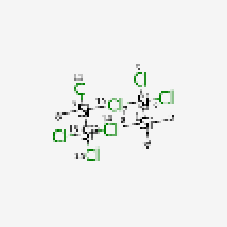 C[Si](C)(C)[Si](Cl)(Cl)Cl.C[Si](C)(Cl)[Si](Cl)(Cl)Cl